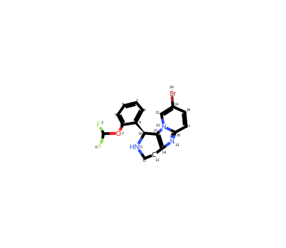 FC(F)Oc1ccccc1[C@@H]1NCCc2nc3ccc(Br)cn3c21